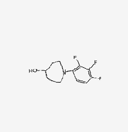 OC1CCN(c2ccc(F)c(F)c2F)CC1